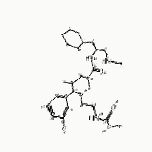 CNC[C@H](CC1CCCCC1)NC(=O)N(C)CC(C)[C@@H](OCCNC(=O)OC)c1cccc(Cl)c1